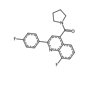 O=C(c1cc(-c2ccc(F)cc2)nc2c(F)cccc12)N1CCCC1